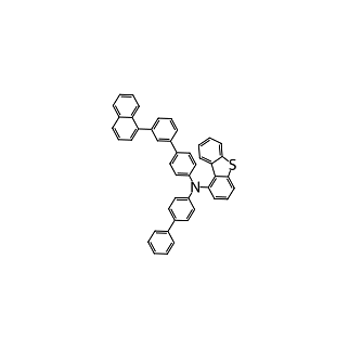 c1ccc(-c2ccc(N(c3ccc(-c4cccc(-c5cccc6ccccc56)c4)cc3)c3cccc4sc5ccccc5c34)cc2)cc1